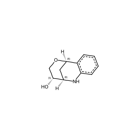 O[C@@H]1CO[C@@H]2C[C@H]1Nc1ccccc12